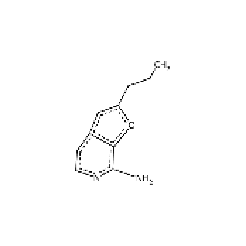 CCCc1cc2ccnc(N)c2o1